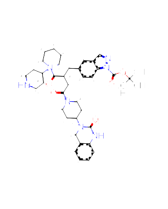 CC(C)(C)OC(=O)n1ncc2cc(CC(CC(=O)N3CCC(N4Cc5ccccc5NC4=O)CC3)C(=O)[N+]3(C4CCNCC4)CCCCC3)ccc21